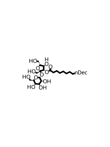 CCCCCCCCCCCCCCCCCC(=O)O[C@H]1[C@H](O)[C@@H](CO)O[C@@]1(CO)O[C@H]1O[C@H](CO)[C@@H](O)[C@H](O)[C@H]1O